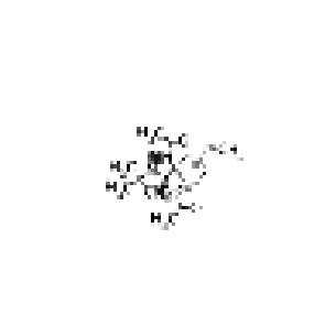 C=C[C@@H]1CC[C@@H](OC(C)=O)[C@](NC(C)=O)(C(=O)NC(C)(C)C)C1